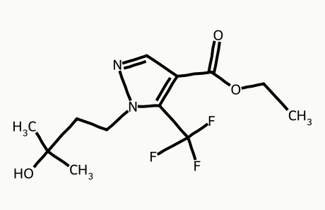 CCOC(=O)c1cnn(CCC(C)(C)O)c1C(F)(F)F